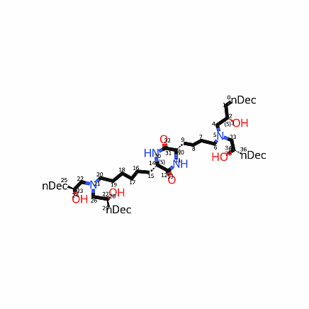 CCCCCCCCCCC[C@H](O)CN(CCCC[C@@H]1NC(=O)[C@H](CCCCCCN(C[C@@H](O)CCCCCCCCCC)C[C@@H](O)CCCCCCCCCC)NC1=O)C[C@@H](O)CCCCCCCCCC